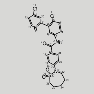 O=C(Nc1ccc(Cl)c(-c2cc(Cl)ccn2)c1)c1ccc(N2CCCCCS2(=O)=O)cc1